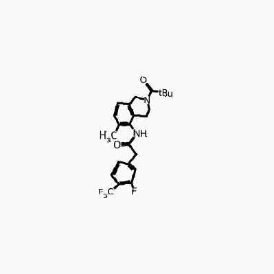 Cc1ccc2c(c1NC(=O)Cc1ccc(C(F)(F)F)c(F)c1)CCN(C(=O)C(C)(C)C)C2